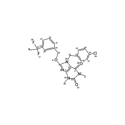 Cn1c(=O)c2c(nc(OCc3cccc(C(C)(F)F)c3)n2Cc2ccc(Cl)cc2)n(C)c1=O